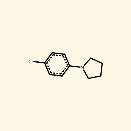 Clc1[c]cc(N2CCCC2)cc1